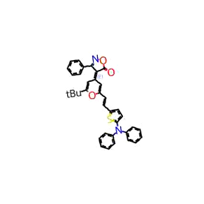 CC(C)(C)C1=C/C(=C2/C(=O)ON=C2c2ccccc2)C=C(C=Cc2ccc(N(c3ccccc3)c3ccccc3)s2)O1